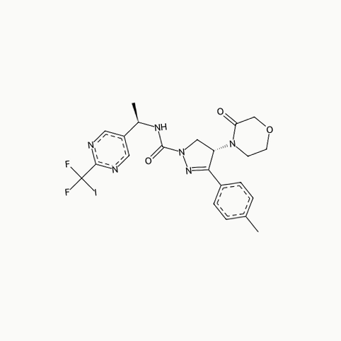 Cc1ccc(C2=NN(C(=O)N[C@H](C)c3cnc(C(F)(F)I)nc3)C[C@@H]2N2CCOCC2=O)cc1